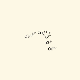 C.C.[Ce+3].[Ce+3].[O-2].[O-2].[O-2]